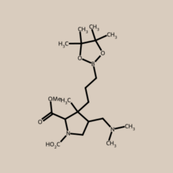 COC(=O)C1N(C(=O)O)CC(CN(C)C)C1(C)CCCB1OC(C)(C)C(C)(C)O1